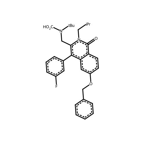 CC(C)Cn1c(CN(C(=O)O)C(C)(C)C)c(-c2cccc(F)c2)c2cc(OCc3ccccc3)ccc2c1=O